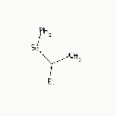 CCC(C)[Se]P